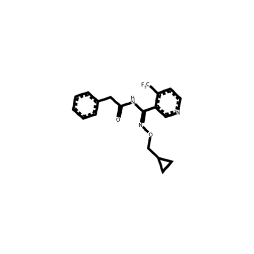 O=C(Cc1ccccc1)NC(=NOCC1CC1)c1cnccc1C(F)(F)F